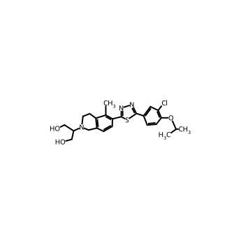 Cc1c(-c2nnc(-c3ccc(OC(C)C)c(Cl)c3)s2)ccc2c1CCN(C(CO)CO)C2